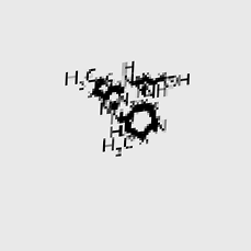 Cc1cc(Nc2nc(Nc3cc(CO)[nH]n3)c3sc(C)cc3n2)cccc2nc-2c1